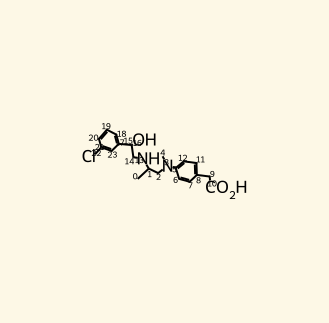 CC(CN(C)c1ccc(CC(=O)O)cc1)NCC(O)c1cccc(Cl)c1